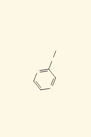 [Br][Zn][c]1cnccn1